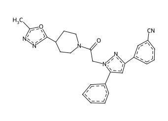 Cc1nnc(C2CCN(C(=O)Cn3nc(-c4cccc(C#N)c4)cc3-c3ccccc3)CC2)o1